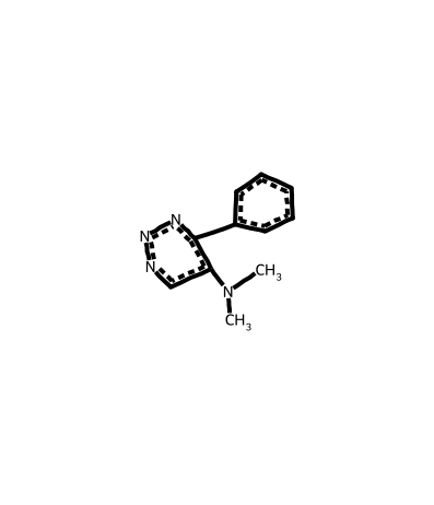 CN(C)c1cnnnc1-c1ccccc1